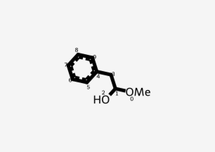 COC(O)Cc1ccccc1